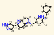 C[C@@H](CCc1ccccc1)C[C@@H](CN)Cn1ccc2nc(-c3cn[nH]c3)ccc21